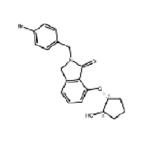 O=C1c2c(cccc2O[C@@H]2CCC[C@H]2O)CN1Cc1ccc(Br)cc1